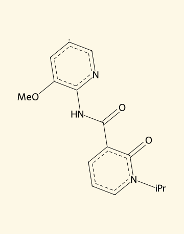 COc1c[c]cnc1NC(=O)c1cccn(C(C)C)c1=O